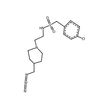 [N-]=[N+]=NCC1CCN(CCNS(=O)(=O)Cc2ccc(Cl)cc2)CC1